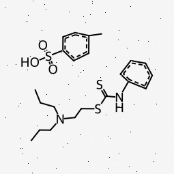 CCCN(CCC)CCSC(=S)Nc1ccccc1.Cc1ccc(S(=O)(=O)O)cc1